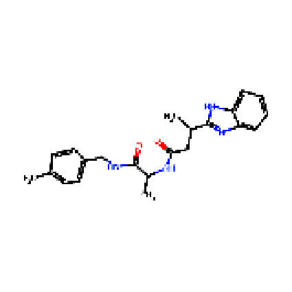 CC(NC(=O)CC(C)c1nc2ccccc2[nH]1)C(=O)NCc1ccc(C(F)(F)F)cc1